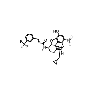 CN(C(=O)/C=C/c1cccc(C(F)(F)F)c1)C1CC[C@@]2(O)[C@H]3Cc4c([N+](=O)[O-])cc(O)c5c4[C@@]2(CCN3CC2CC2)C1O5